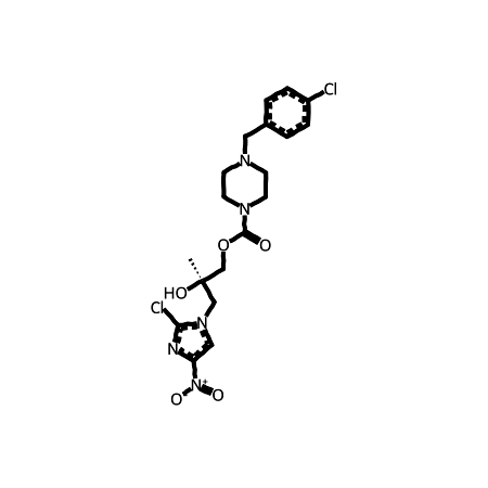 C[C@](O)(COC(=O)N1CCN(Cc2ccc(Cl)cc2)CC1)Cn1cc([N+](=O)[O-])nc1Cl